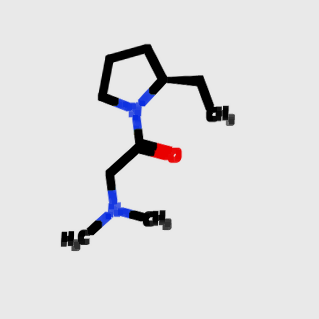 CC[C@@H]1CCCN1C(=O)CN(C)C